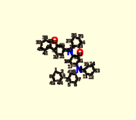 c1ccc(-c2cccc(N(c3ccccc3)c3ccc4c(c3)Oc3ccccc3N4c3ccc4c(c3)oc3ccccc34)c2)cc1